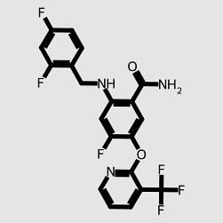 NC(=O)c1cc(Oc2ncccc2C(F)(F)F)c(F)cc1NCc1ccc(F)cc1F